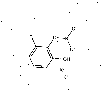 [K+].[K+].[O-]B([O-])Oc1c(O)cccc1F